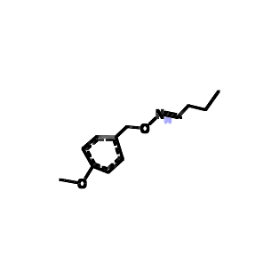 CCC/[C]=N/OCc1ccc(OC)cc1